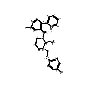 CCC1[C@@H](COc2ccc(F)cn2)CCCN1C(=O)c1cc(C)ccc1-c1ccccn1